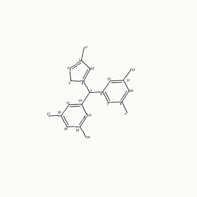 CC1=CCC(C(c2cc(C)cc(C)c2)c2cc(C)cc(C)c2)=C1